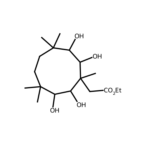 CCOC(=O)CC1(C)C(O)C(O)C(C)(C)CCC(C)(C)C(O)C1O